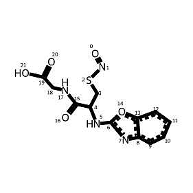 O=NSCC(Nc1nc2ccccc2o1)C(=O)NCC(=O)O